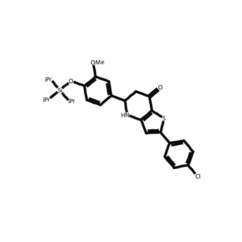 COc1cc(C2CC(=O)c3sc(-c4ccc(Cl)cc4)cc3N2)ccc1O[Si](C(C)C)(C(C)C)C(C)C